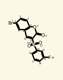 O=c1oc2ccc(Br)cc2cc1S(=O)(=O)c1cccc(F)c1